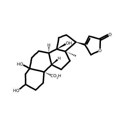 C[C@]12CC[C@H]3[C@@H](CCC4(O)CC(O)CC[C@]34C(=O)O)[C@]1(O)CC[C@H]2C1=CC(=O)OC1